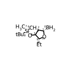 B[C@H]1CC(O[Si](C)(C)C(C)(C)C)[C@@H](CC)O1